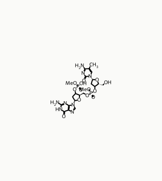 COP(=O)(O)OC1C[C@H](n2cnc3c(=O)[nH]c(N)nc32)O[C@@H]1COP(=O)(OC)OC1C[C@H](n2cc(C)c(N)nc2=O)O[C@@H]1CO